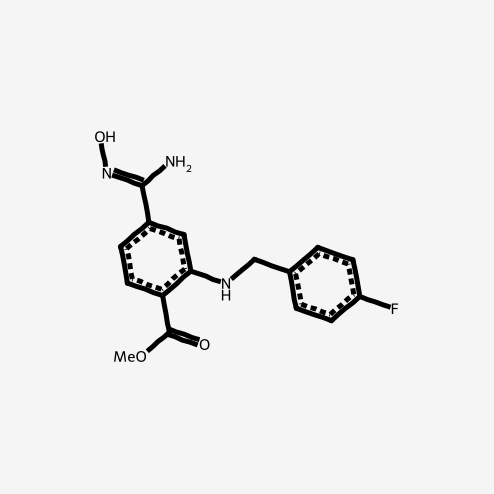 COC(=O)c1ccc(C(N)=NO)cc1NCc1ccc(F)cc1